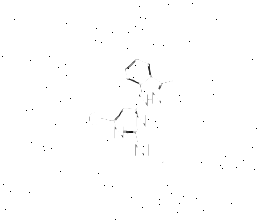 Nc1nc(Cl)cc(-n2nc(I)c3ccccc32)n1